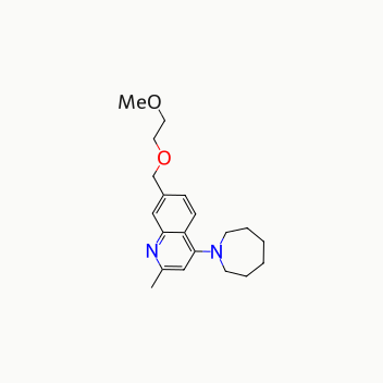 COCCOCc1ccc2c(N3CCCCCC3)cc(C)nc2c1